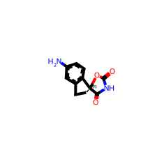 Nc1ccc2c(c1)CC[C@@]21OC(=O)NC1=O